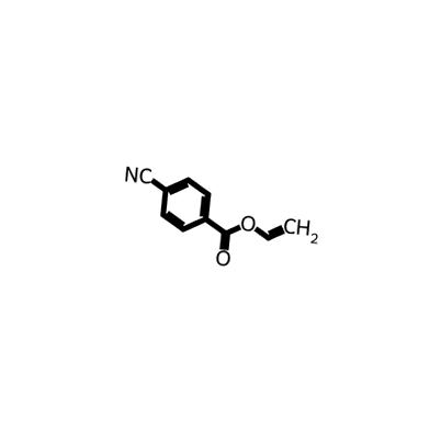 C=COC(=O)c1ccc(C#N)cc1